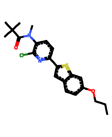 CCCOc1ccc2cc(-c3ccc(N(C)C(=O)C(C)(C)C)c(Cl)n3)sc2c1